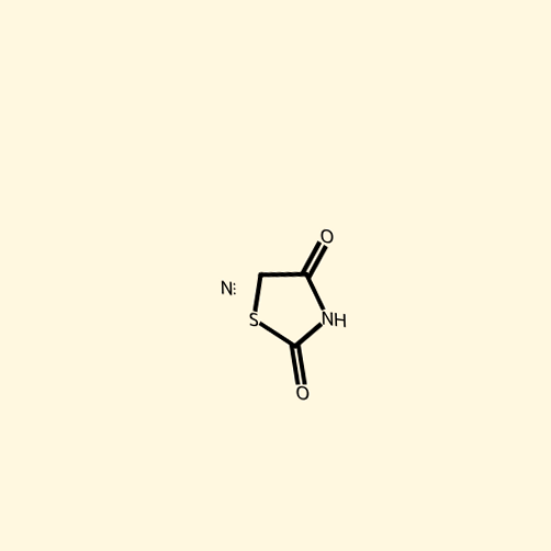 O=C1CSC(=O)N1.[N]